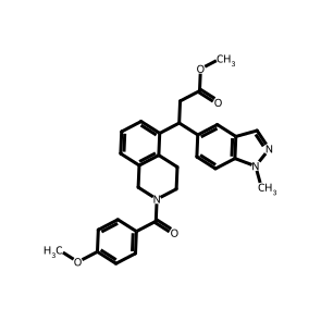 COC(=O)CC(c1ccc2c(cnn2C)c1)c1cccc2c1CCN(C(=O)c1ccc(OC)cc1)C2